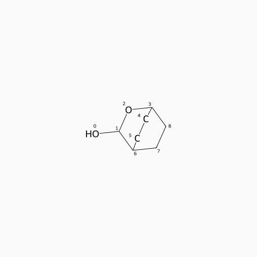 OC1OC2CCC1CC2